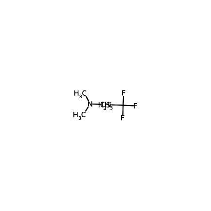 CN(C)C.FC(F)(F)[SiH3]